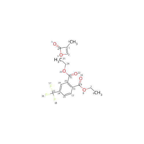 CC1=COC1=O.CCOC(=O)c1ccc(C(F)(F)F)cc1C(=O)OCC